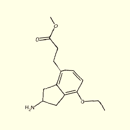 CCOc1ccc(CCC(=O)OC)c2c1CC(N)C2